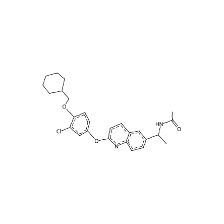 CC(=O)NC(C)c1ccc2nc(Oc3ccc(OCC4CCCCC4)c(Cl)c3)ccc2c1